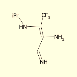 CC(C)N/C(=C(/N)C=N)C(F)(F)F